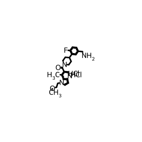 COCCn1ccc2ncc(C(=O)N3CCC(c4cc(CN)ccc4F)CC3)c(C)c21.Cl.Cl